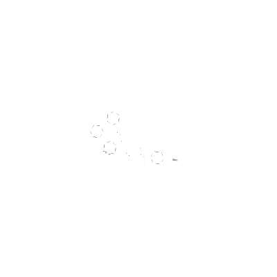 C#Cc1ccc(NC(=O)C(CC(=O)NC(c2ccccc2)(c2ccccc2)c2ccccc2)NC(=O)O)cc1